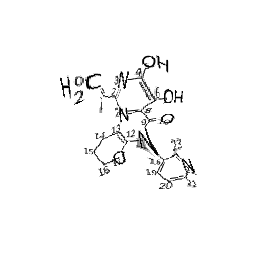 C=Cc1nc(O)c(O)c(C(=O)N(C2=CCCCO2)c2cccnc2)n1